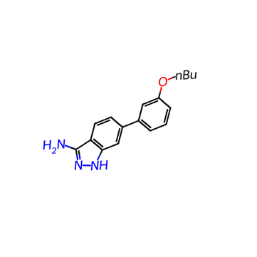 CCCCOc1cccc(-c2ccc3c(N)n[nH]c3c2)c1